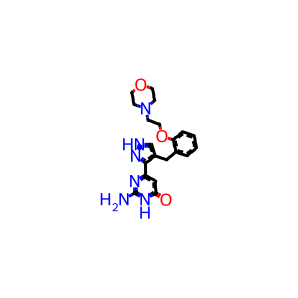 Nc1nc(-c2n[nH]cc2Cc2ccccc2OCCN2CCOCC2)cc(=O)[nH]1